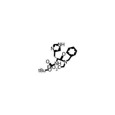 CCOC(=O)CN(Cc1ccccc1)C(=O)[C@@H](Cc1c[nH]cn1)NC(=O)OC(C)(C)C